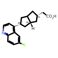 O=C(O)C[C@H]1CC2C[C@@H](c3ccnc4ccc(F)cc34)C[C@H]2C1